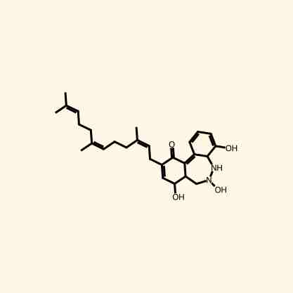 CC(C)=CCCC(C)=CCCC(C)=CCC1=CC(O)C2CN(O)NC3C(O)=CC=CC3=C2C1=O